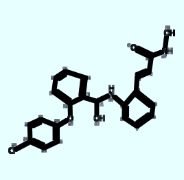 O=C(/C=C/c1ccccc1NC(O)c1ccccc1Oc1ccc(Cl)cc1)NO